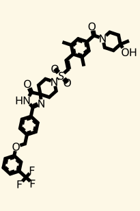 Cc1cc(C(=O)N2CCC(C)(O)CC2)cc(C)c1C=CS(=O)(=O)N1CCC2(CC1)N=C(c1ccc(COc3cccc(C(F)(F)F)c3)cc1)NC2=O